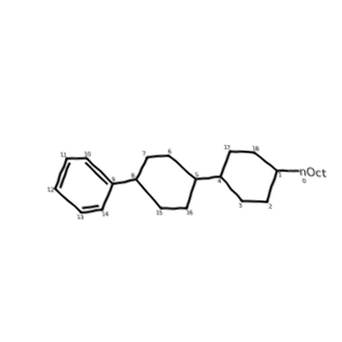 CCCCCCCCC1CCC(C2CCC(c3ccccc3)CC2)CC1